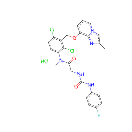 Cc1cn2cccc(OCc3c(Cl)ccc(N(C)C(=O)CNC(=O)Nc4ccc(F)cc4)c3Cl)c2n1.Cl